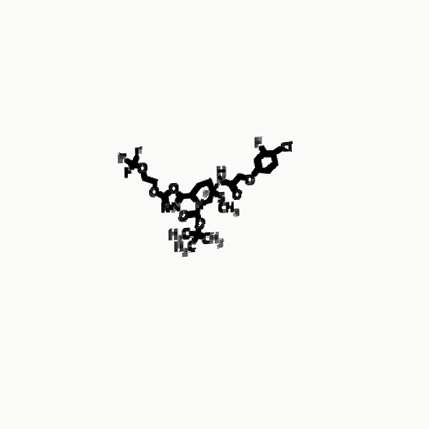 CS[C@@]1(NC(=O)COc2ccc(Cl)c(F)c2)CCC(c2nnc(OCCOC(F)(F)F)o2)N(C(=O)OC(C)(C)C)C1